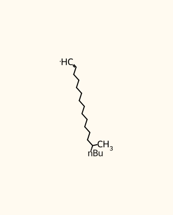 [CH]=CCCCCCCCCCCCC(C)CCCC